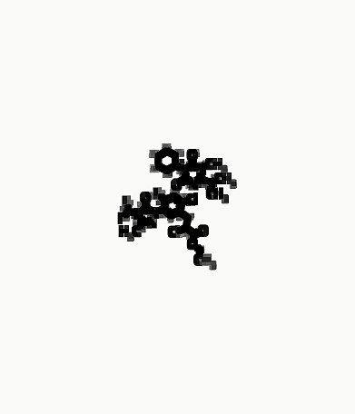 CCOC(=O)C(Cl)Cc1cc(-n2nc(C)n(C(F)F)c2=O)c(F)cc1Cl.CN(C)c1nc(=O)n(C2CCCCC2)c(=O)n1C